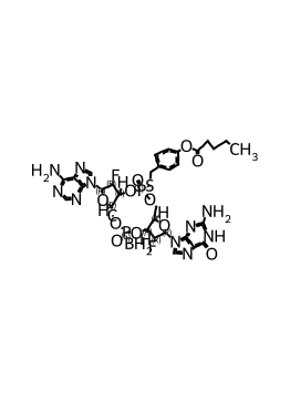 B[P@]1(=O)OC[C@H]2O[C@@H](n3cnc4c(N)ncnc43)[C@H](F)[C@@H]2O[P@@](=O)(SCc2ccc(OC(=O)CCCC)cc2)OC[C@H]2O[C@@H](n3cnc4c(=O)[nH]c(N)nc43)[C@H](F)[C@@H]2O1